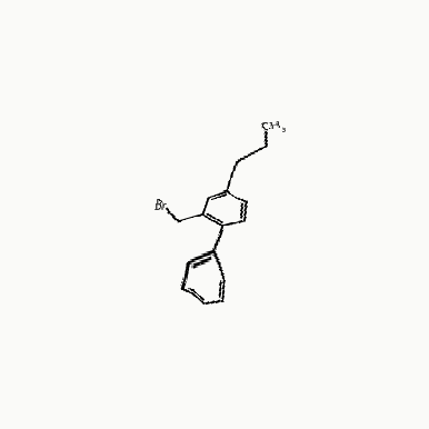 CCCc1ccc(-c2ccccc2)c(CBr)c1